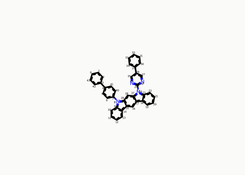 c1ccc(-c2ccc(-n3c4ccccc4c4cc5c6ccccc6n(-c6ncc(-c7ccccc7)cn6)c5cc43)cc2)cc1